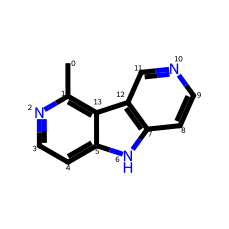 Cc1nccc2[nH]c3ccncc3c12